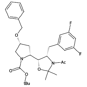 CC(=O)N1[C@@H](Cc2cc(F)cc(F)c2)[C@@H]([C@H]2C[C@@H](OCc3ccccc3)CN2C(=O)OC(C)(C)C)OC1(C)C